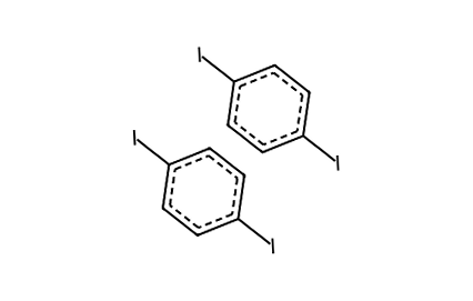 Ic1ccc(I)cc1.Ic1ccc(I)cc1